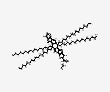 CCCCCCCCCCCCCCCCC1(CCCCCCCCCCCCCCCC)C2=Cc3c4c(sc3=C2C(CCCCCCCCCCCCCCCC)(CCCCCCCCCCCCCCCC)C2C=c3c(sc5ccsc35)=C21)=CC(C(=O)OCC)S4